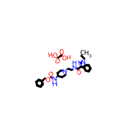 CCCn1nc(C(=O)NCCN2CCC(NC(=O)OCc3ccccc3)CC2)c2ccccc21.O=C(O)C(=O)O